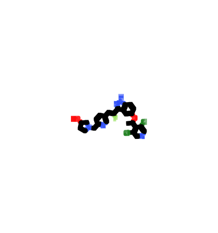 CC(Oc1ccc2[nH]nc(/C(F)=C/c3ccc(CN4CCC(O)C4)nc3)c2c1)c1c(Cl)cncc1Cl